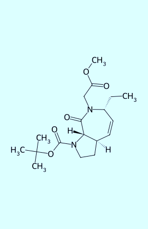 CC[C@@H]1C=C[C@H]2CCN(C(=O)OC(C)(C)C)[C@@H]2C(=O)N1CC(=O)OC